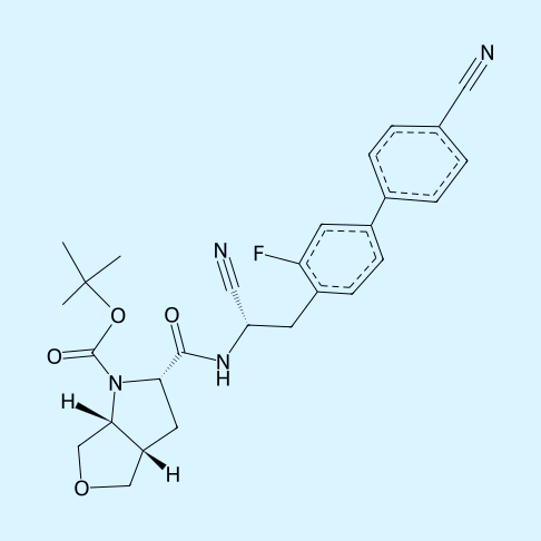 CC(C)(C)OC(=O)N1[C@H](C(=O)N[C@H](C#N)Cc2ccc(-c3ccc(C#N)cc3)cc2F)C[C@@H]2COC[C@@H]21